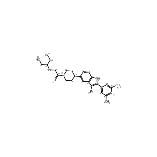 Cc1cc(-c2[nH]c3ccc(C4CCN(C(=O)CNC(CO)CC(C)C)CC4)cc3c2C(C)C)cc(C)n1